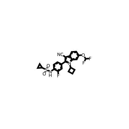 N#Cc1c(-c2ccc(NS(=O)(=O)C3CC3)c(F)c2)n(C2CCC2)c2cc(OC(F)F)ccc12